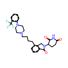 O=C1CCC(N2Cc3c(CCCCN4CCN(c5ccccc5C(F)(F)F)CC4)cccc3C2=O)C(=O)N1